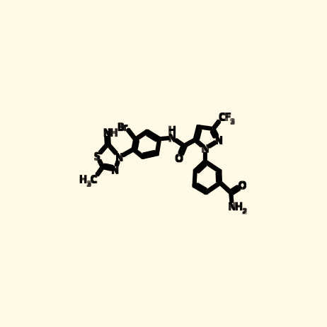 Cc1nn(-c2ccc(NC(=O)c3cc(C(F)(F)F)nn3-c3cccc(C(N)=O)c3)cc2Br)c(=N)s1